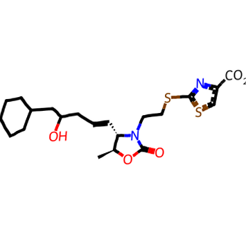 C[C@@H]1OC(=O)N(CCSc2nc(C(=O)O)cs2)[C@H]1/C=C/CC(O)CC1CCCCC1